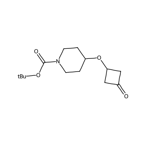 CC(C)(C)OC(=O)N1CCC(OC2CC(=O)C2)CC1